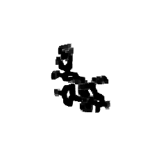 Cc1c(F)cc(C(=N)NCc2cc(-c3cnc(C(F)(F)F)nc3)c(Cl)cn2)n1S(=O)(=O)c1ccc(F)cc1